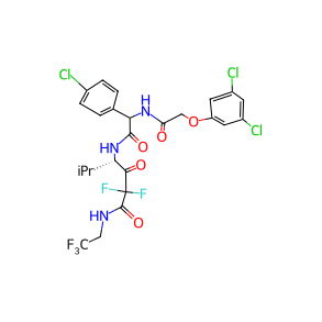 CC(C)[C@H](NC(=O)C(NC(=O)COc1cc(Cl)cc(Cl)c1)c1ccc(Cl)cc1)C(=O)C(F)(F)C(=O)NCC(F)(F)F